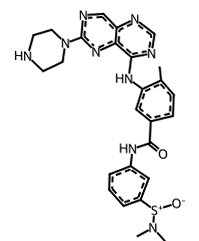 Cc1ccc(C(=O)Nc2cccc([S+]([O-])N(C)C)c2)cc1Nc1ncnc2cnc(N3CCNCC3)nc12